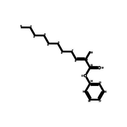 CCCCCCCCC=C(C)C(=O)Oc1ccccc1